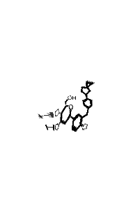 OC[C@H]1O[C@@H](c2ccc(Cl)c(Cc3ccc(C4CCC5(CC5)C4)cc3)c2)C[C@@H](O)[C@@H]1O